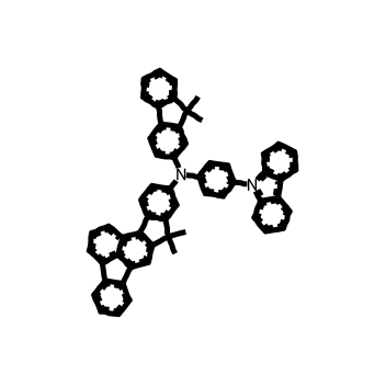 CC1(C)c2ccccc2-c2ccc(N(c3ccc(-n4c5ccccc5c5ccccc54)cc3)c3ccc4c(c3)C(C)(C)c3cc5c6c(cccc6c3-4)-c3ccccc3-5)cc21